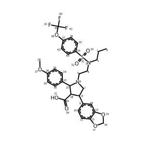 CCCN(CCN1CC(c2ccc3c(c2)OCO3)C(C(=O)O)C1c1ccc(OC)cc1)S(=O)(=O)c1ccc(OC(F)(F)F)cc1